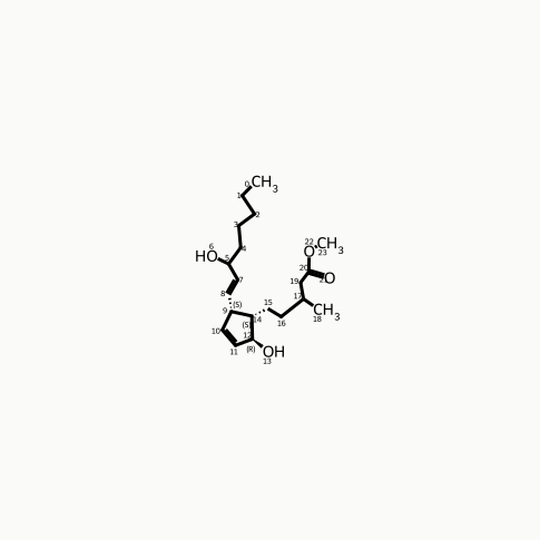 CCCCCC(O)C=C[C@H]1C=C[C@H](O)[C@H]1CCC(C)CC(=O)OC